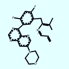 C=C/C=N\C(Cc1cc(-c2ncnc3cc(N4CCOCC4)cnc23)c(F)cc1F)=C(C)C